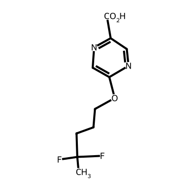 CC(F)(F)CCCOc1cnc(C(=O)O)cn1